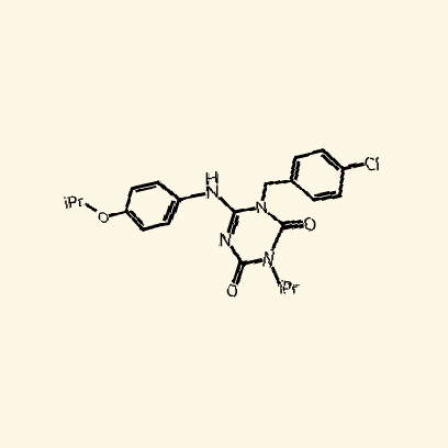 CC(C)Oc1ccc(Nc2nc(=O)n(C(C)C)c(=O)n2Cc2ccc(Cl)cc2)cc1